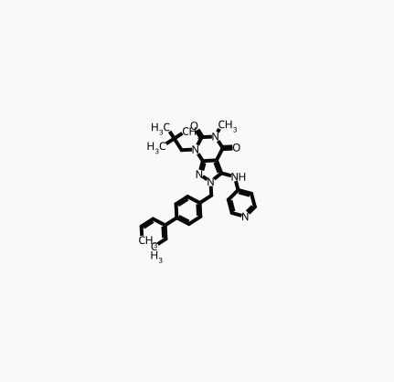 C/C=C\C(=C/C)c1ccc(Cn2nc3c(c2Nc2ccncc2)c(=O)n(C)c(=O)n3CC(C)(C)C)cc1